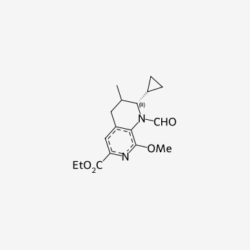 CCOC(=O)c1cc2c(c(OC)n1)N(C=O)[C@@H](C1CC1)C(C)C2